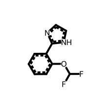 FC(F)Oc1ccccc1-c1ncc[nH]1